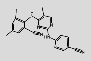 Cc1cc(C)c(Nc2nc(Nc3ccc(C#N)cc3)ncc2C)c(C#N)c1